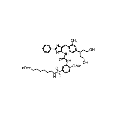 CCCCCCCCCCCCCCCCNS(=O)(=O)c1ccc(OC)c(NC(=O)NC2=NC(c3ccccc3)=N/C2=C/c2ccc(N(CCO)CCO)cc2C)c1